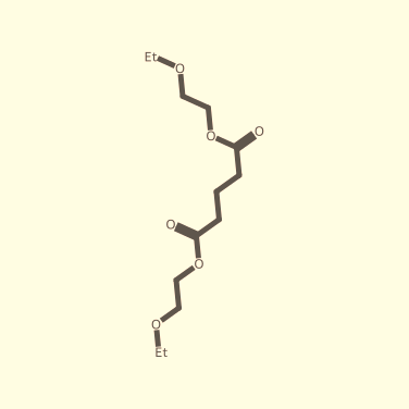 CCOCCOC(=O)CCCC(=O)OCCOCC